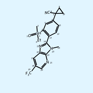 CC[SH](C)(=O)c1cc(C2(C#N)CC2)ccc1-c1nc2cc(C(F)(F)F)cnc2n1C